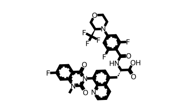 Cn1c(=O)n(-c2ccc(C[C@H](NC(=O)c3c(F)cc(N4CCOC[C@@H]4C(F)(F)F)cc3F)C(=O)O)c3cccnc23)c(=O)c2ccc(F)cc21